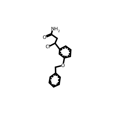 NC(=O)CC(Cl)c1cccc(OCc2ccccc2)c1